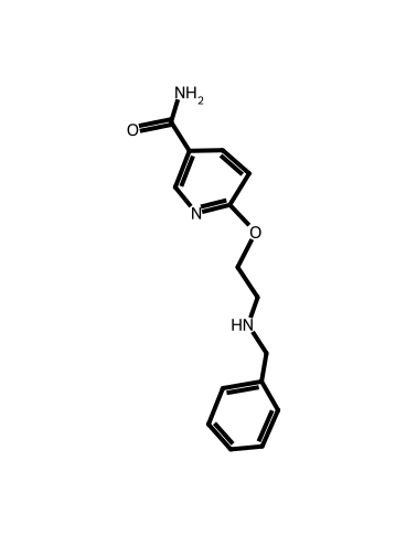 NC(=O)c1ccc(OCCNCc2ccccc2)nc1